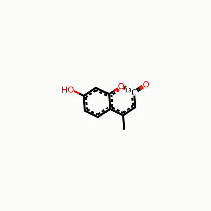 Cc1c[13c](=O)oc2cc(O)ccc12